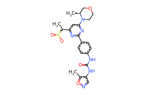 CC(c1cc(N2CCOC[C@@H]2C)nc(-c2ccc(NC(=O)Nc3cnoc3C)cc2)n1)=S(=O)=O